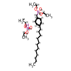 CCCCCCCCCCCCc1ccc(CP(=O)(OCC)OCC)cc1.CCO[PH](=O)OCC